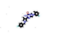 Cc1ccc(F)cc1N1C=C2N=C(C3CN(Cc4ccc(F)cc4)CC3C)NC(=O)N2C1